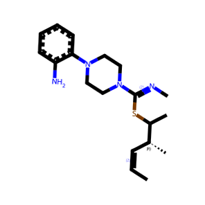 C/C=C\[C@@H](C)C(C)S/C(=N\C)N1CCN(c2ccccc2N)CC1